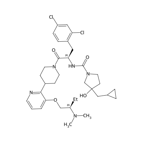 CC[C@H](COc1cccnc1C1CCN(C(=O)[C@@H](Cc2ccc(Cl)cc2Cl)NC(=O)N2CCC(O)(CC3CC3)C2)CC1)N(C)C